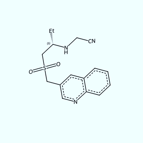 CC[C@@H](CS(=O)(=O)Cc1cnc2ccccc2c1)NCC#N